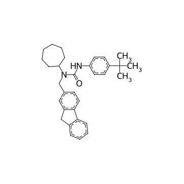 CC(C)(C)c1ccc(NC(=O)N(Cc2ccc3c(c2)Cc2ccccc2-3)C2CCCCCC2)cc1